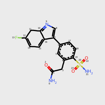 NC(=O)Cc1cc(C2=CN=C3CC(F)=CC=C23)ccc1S(N)(=O)=O